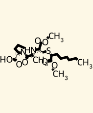 CCCCCCC(SC[C@H](N[C@@H](C)C(=O)N1CCC[C@H]1C(=O)O)C(=O)OCC)C(=O)OCC